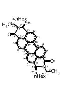 CCCCCC[C@@H](C)N1C(=O)c2ccc3c4ccc5c6c(ccc(c7ccc(c2c37)C1=S)c64)C(=O)N([C@H](C)CCCCCC)C5=S